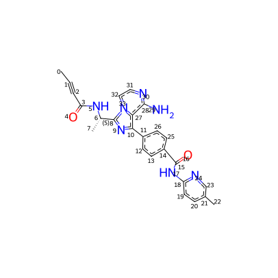 CC#CC(=O)N[C@@H](C)c1nc(-c2ccc(C(=O)Nc3ccc(C)cn3)cc2)c2c(N)nccn12